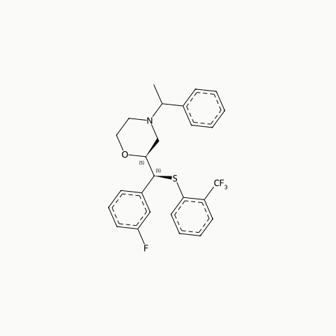 CC(c1ccccc1)N1CCO[C@H]([C@@H](Sc2ccccc2C(F)(F)F)c2cccc(F)c2)C1